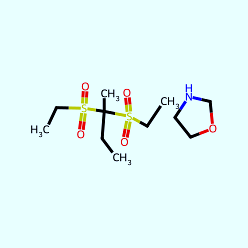 C1COCN1.CCC(C)(S(=O)(=O)CC)S(=O)(=O)CC